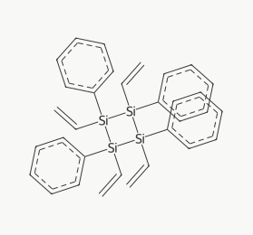 C=C[Si]1(c2ccccc2)[Si](C=C)(c2ccccc2)[Si](C=C)(c2ccccc2)[Si]1(C=C)c1ccccc1